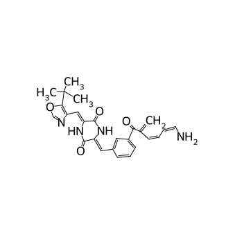 C=C(/C=C\C=C/N)C(=O)c1cccc(/C=c2\[nH]c(=O)/c(=C/c3ncoc3C(C)(C)C)[nH]c2=O)c1